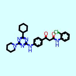 O=C(CC(=O)c1ccc(Nc2nc(C3CCCCC3)nc(N3CCCCC3)n2)cc1)Nc1ccccc1Cl